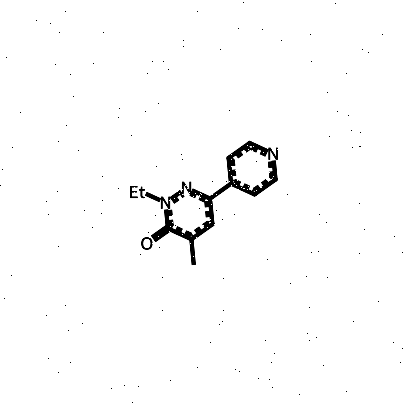 CCn1nc(-c2ccncc2)cc(C)c1=O